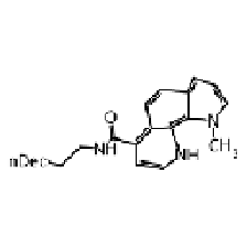 CCCCCCCCCCCCNC(=O)C1=c2ccc3c(c2NC=C1)N(C)C=CC=3